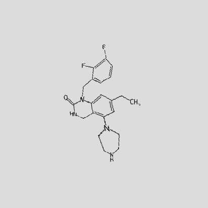 CCc1cc(N2CCNCC2)c2c(c1)N(Cc1cccc(F)c1F)C(=O)NC2